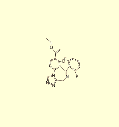 C=C(OCC)c1ccc2c(c1Cl)C(c1c(F)cccc1F)=NCc1nncn1-2